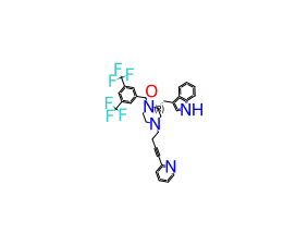 O=C(c1cc(C(F)(F)F)cc(C(F)(F)F)c1)N1CCN(CCC#Cc2ccccn2)C[C@H]1Cc1c[nH]c2ccccc12